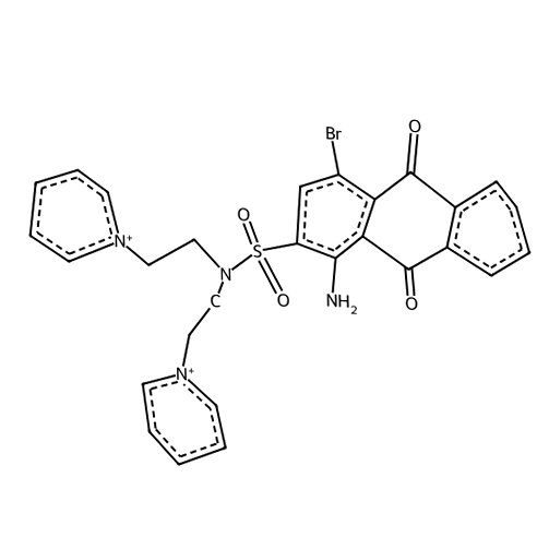 Nc1c(S(=O)(=O)N(CC[n+]2ccccc2)CC[n+]2ccccc2)cc(Br)c2c1C(=O)c1ccccc1C2=O